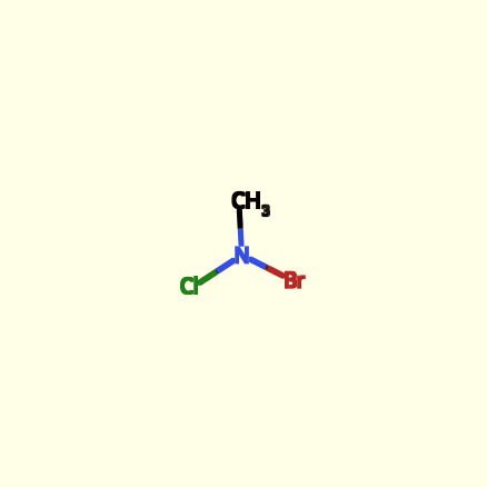 CN(Cl)Br